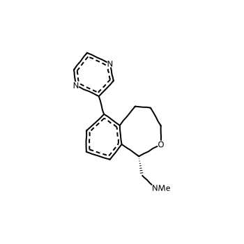 CNC[C@H]1OCCCc2c(-c3cnccn3)cccc21